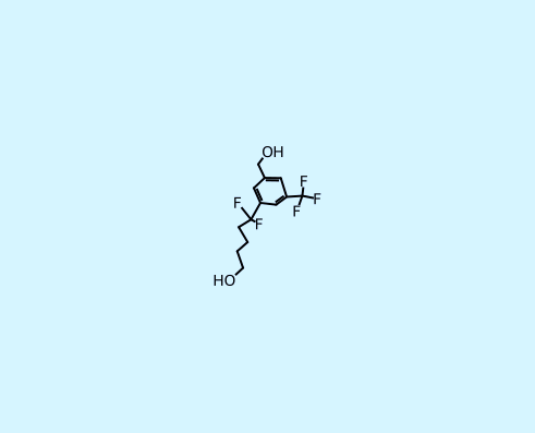 OCCCCC(F)(F)c1cc(CO)cc(C(F)(F)F)c1